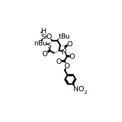 CCCCSC(=O)C[C@@H]1[C@H]([C@@H](CO[SiH](C)C)C(C)(C)C)C(=O)N1C(=O)C(=O)OCc1ccc([N+](=O)[O-])cc1